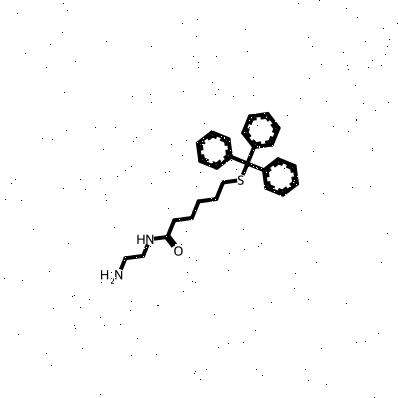 NCCNC(=O)CCCCCSC(c1ccccc1)(c1ccccc1)c1ccccc1